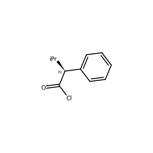 CC(C)[C@H](C(=O)Cl)c1ccccc1